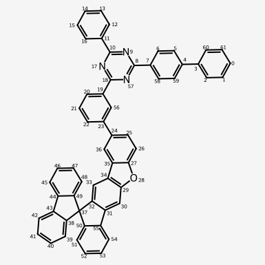 c1ccc(-c2ccc(-c3nc(-c4ccccc4)nc(-c4cccc(-c5ccc6oc7cc8c(cc7c6c5)C5(c6ccccc6-c6ccccc65)c5ccccc5-8)c4)n3)cc2)cc1